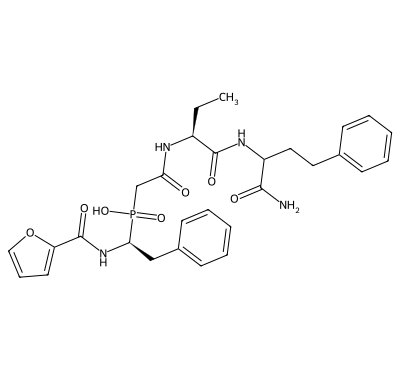 CC[C@H](NC(=O)CP(=O)(O)[C@@H](Cc1ccccc1)NC(=O)c1ccco1)C(=O)NC(CCc1ccccc1)C(N)=O